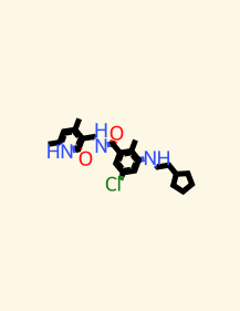 Cc1cc(C)c(CNC(=O)c2cc(Cl)cc(NCCC3CCCC3)c2C)c(=O)[nH]1